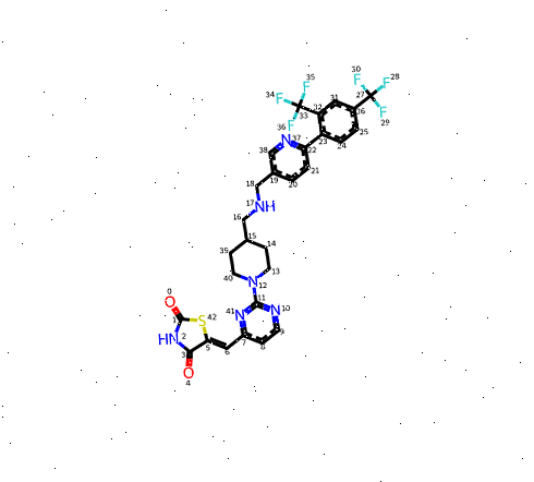 O=C1NC(=O)C(=Cc2ccnc(N3CCC(CNCc4ccc(-c5ccc(C(F)(F)F)cc5C(F)(F)F)nc4)CC3)n2)S1